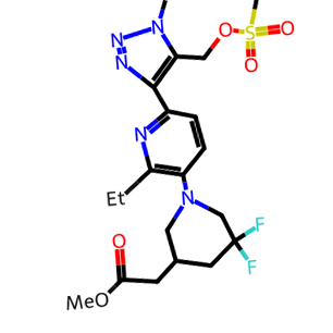 CCc1nc(-c2nnn(C)c2COS(C)(=O)=O)ccc1N1CC(CC(=O)OC)CC(F)(F)C1